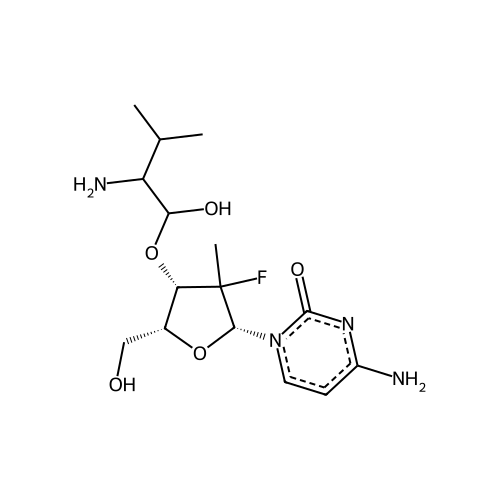 CC(C)C(N)C(O)O[C@H]1[C@@H](CO)O[C@@H](n2ccc(N)nc2=O)C1(C)F